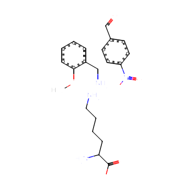 COc1ccccc1CN.NCCCCC(N)C(=O)O.O=Cc1ccc([N+](=O)[O-])cc1